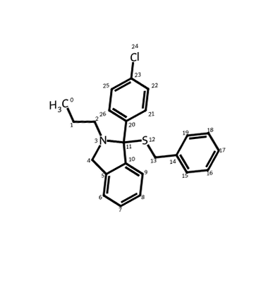 CCCN1Cc2ccccc2C1(SCc1ccccc1)c1ccc(Cl)cc1